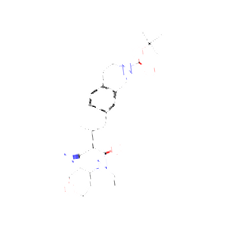 CCN(C(=O)C(C#N)C(C)Cc1ccc2c(c1)CN(C(=O)OC(C)(C)C)CC2)C1CCOCC1